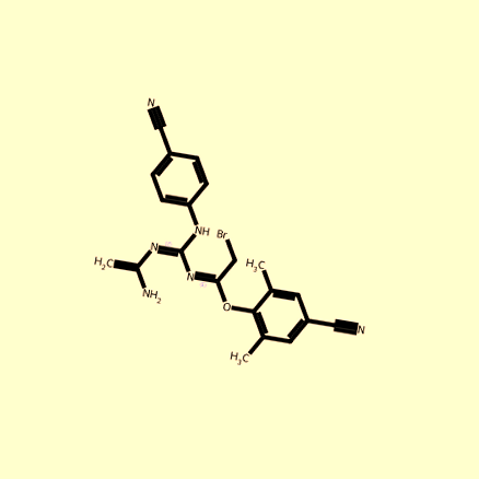 C=C(N)/N=C(\N=C(/CBr)Oc1c(C)cc(C#N)cc1C)Nc1ccc(C#N)cc1